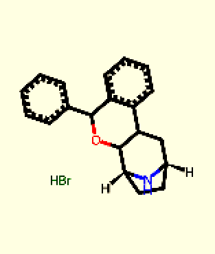 Br.c1ccc(C2OC3C(C[C@@H]4CC[C@H]3N4)c3ccccc32)cc1